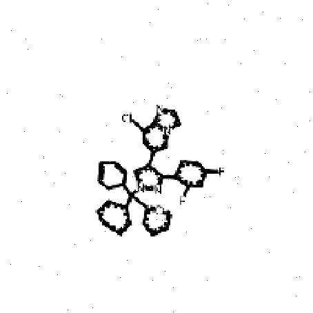 Fc1ccc(-c2nn(C(c3ccccc3)(c3ccccc3)C3C=CC=CC3)cc2-c2cc(Cl)c3nccn3c2)c(F)c1